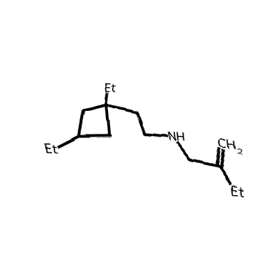 C=C(CC)CNCCC1(CC)CC(CC)C1